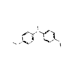 CCCCSc1ccc([S+]([O-])c2ccc(SCCCC)cc2)cc1